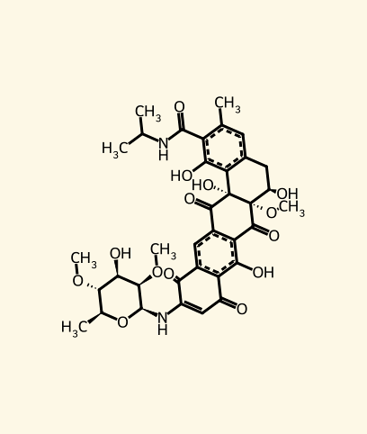 CO[C@@H]1[C@@H](O)[C@@H](OC)[C@@H](NC2=CC(=O)c3c(cc4c(c3O)C(=O)[C@]3(OC)[C@H](O)Cc5cc(C)c(C(=O)NC(C)C)c(O)c5[C@]3(O)C4=O)C2=O)O[C@H]1C